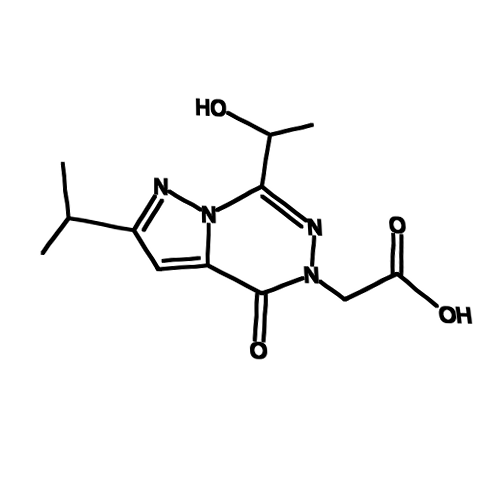 CC(C)c1cc2c(=O)n(CC(=O)O)nc(C(C)O)n2n1